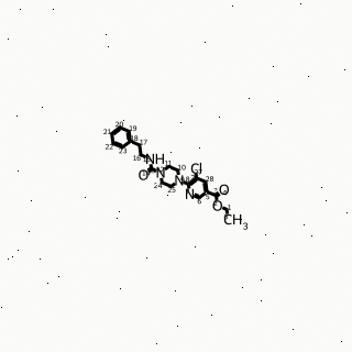 CCOC(=O)c1cnc(N2CCN(C(=O)NCCc3ccccc3)CC2)c(Cl)c1